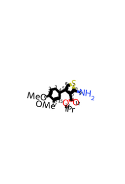 COC1=CCC(c2csc(N)c2C(=O)OC(C)C)C=C1OC